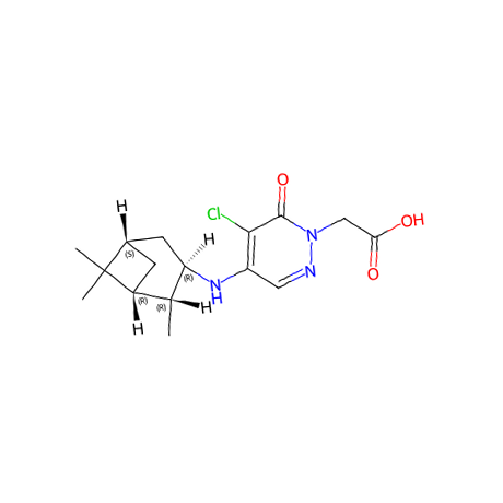 C[C@@H]1[C@H]2C[C@@H](C[C@H]1Nc1cnn(CC(=O)O)c(=O)c1Cl)C2(C)C